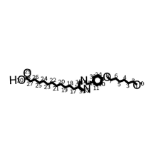 COCCCCCCOc1ccc(-c2ncc(CCCCCCCCCCCC(=O)O)cn2)cc1